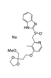 COCC1(CCOc2ccnc(C[S+]([O-])c3nc4ccccc4[nH]3)c2C)OCCO1.[Na]